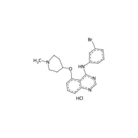 CN1CCC(Oc2cccc3ncnc(Nc4cccc(Br)c4)c23)CC1.Cl